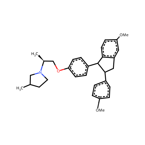 COc1ccc(C2Cc3cc(OC)ccc3C2c2ccc(OC[C@H](C)N3CCC(C)C3)cc2)cc1